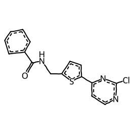 O=C(NCc1ccc(-c2ccnc(Cl)n2)s1)c1ccccc1